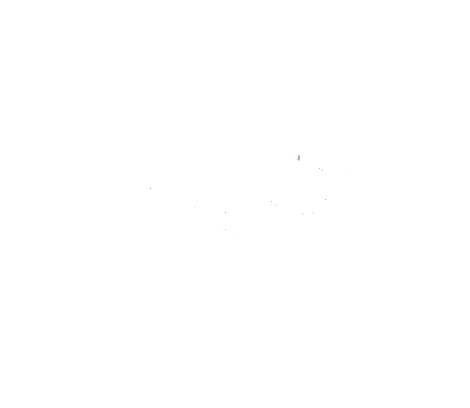 CNc1nc(C)cc(N2CCc3c(c(I)nn3CC34CCC(C3)[C@H](N3CCCCC3)CC4)C2)c1C=N